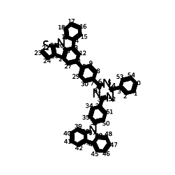 c1ccc(-c2nc(-c3ccc(-c4cc5c6ccccc6n6c7sccc7c(c4)c56)cc3)nc(-c3ccc(-n4c5ccccc5c5ccccc54)cc3)n2)cc1